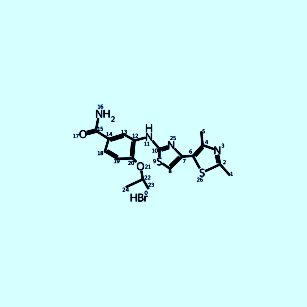 Br.Cc1nc(C)c(-c2csc(Nc3cc(C(N)=O)ccc3OC(C)C)n2)s1